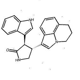 O=C1NC[C@@H](c2cn3c4c(cccc24)CCC3)[C@@H]1c1c[nH]c2ccccc12